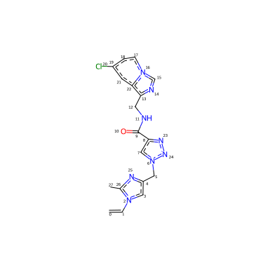 C=Cn1cc(Cn2cc(C(=O)NCc3ncn4ccc(Cl)cc34)nn2)nc1C